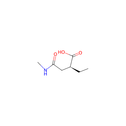 CC[C@@H](CC(=O)NC)C(=O)O